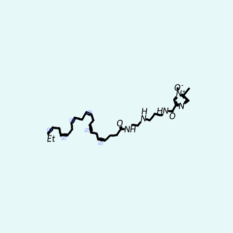 CC/C=C\C/C=C\C/C=C\C/C=C\C/C=C\C/C=C\CCC(=O)NCCNCCCNC(=O)c1c[n+]([O-])c(C)cn1